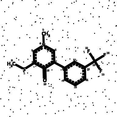 CSc1cn(C)cc(-c2cccc(C(F)(F)F)c2)c1=O